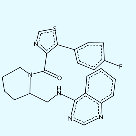 O=C(c1ncsc1-c1ccc(F)cc1)N1CCCCC1CNc1ncnc2ccccc12